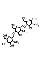 N[C@H]1C(O)[C@@H](OC[C@@H]2OC(CO)[C@H](OC[C@@H]3OC(CO)[C@@H](O)C(O)[C@@H]3N)C(O)[C@@H]2N)C(CO)O[C@H]1O